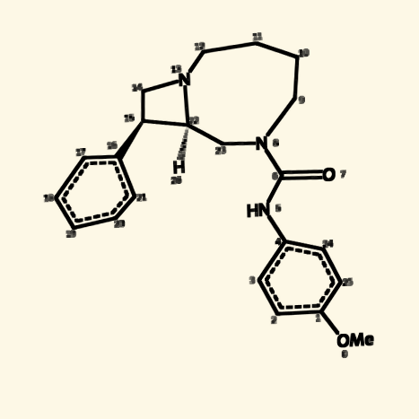 COc1ccc(NC(=O)N2CCCCN3C[C@H](c4ccccc4)[C@@H]3C2)cc1